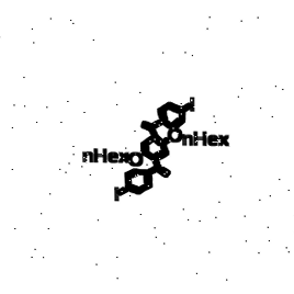 C=C(c1ccc(I)cc1)c1cc(OCCCCCC)c(C(=C)c2ccc(I)cc2)cc1OCCCCCC